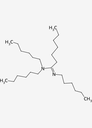 CCCCCC/N=C(\CCCCCC)N(CCCCCC)CCCCCC